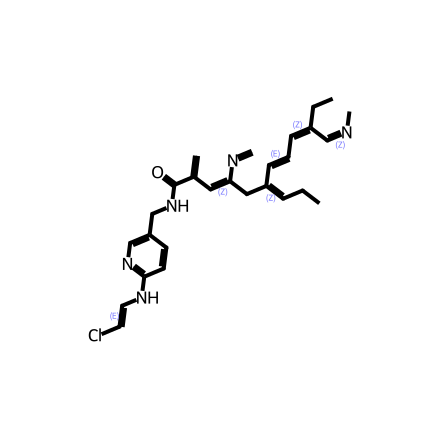 C=N/C(=C\C(=C)C(=O)NCc1ccc(N/C=C/Cl)nc1)CC(=C/CC)/C=C/C=C(\C=N/C)CC